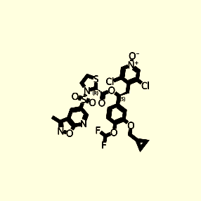 Cc1noc2ncc(S(=O)(=O)N3CCS[C@@H]3C(=O)O[C@@H](Cc3c(Cl)c[n+]([O-])cc3Cl)c3ccc(OC(F)F)c(OCC4CC4)c3)cc12